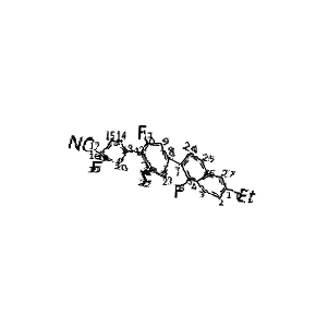 CCc1ccc2c(F)c(-c3cc(F)c(-c4ccc(C#N)c(F)c4)c(F)c3)ccc2c1